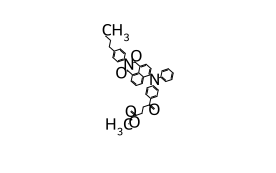 CCCCc1ccc(N2C(=O)c3cccc4c(N(c5ccccc5)c5ccc(C(=O)CCC(=O)OC)cc5)ccc(c34)C2=O)cc1